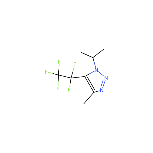 Cc1nnn(C(C)C)c1C(F)(F)C(F)(F)F